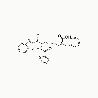 O=C(NC(CCCCN(Cc1ccccc1)C(=O)O)C(=O)c1nc2ccccc2s1)c1nccs1